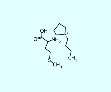 CCCC[S+]1CCCC1.CSCCC(N)C(=O)O